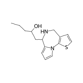 CCCC(O)CC1NCc2ccsc2-n2cccc21